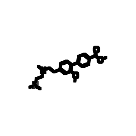 COC(=O)c1ccc(-c2ccc(CCN(C)CCN(C)C)cc2OC)cc1